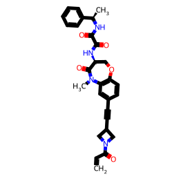 C=CC(=O)N1CC(C#Cc2ccc3c(c2)N(C)C(=O)[C@@H](NC(=O)C(=O)N[C@H](C)c2ccccc2)CO3)C1